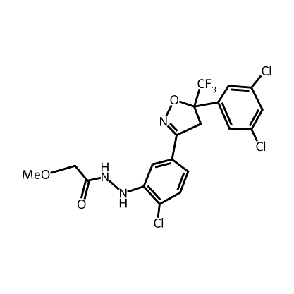 COCC(=O)NNc1cc(C2=NOC(c3cc(Cl)cc(Cl)c3)(C(F)(F)F)C2)ccc1Cl